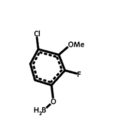 BOc1ccc(Cl)c(OC)c1F